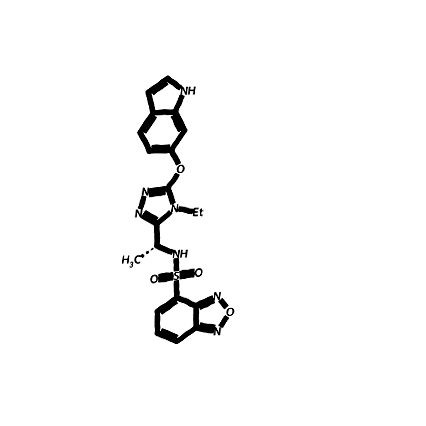 CCn1c(Oc2ccc3cc[nH]c3c2)nnc1[C@@H](C)NS(=O)(=O)c1cccc2nonc12